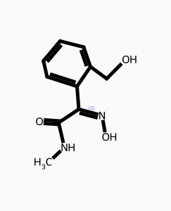 CNC(=O)/C(=N\O)c1ccccc1CO